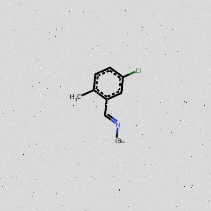 Cc1ccc(Cl)cc1/C=N/C(C)(C)C